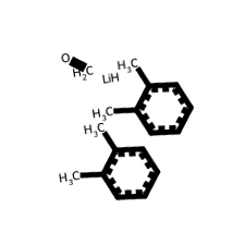 C=O.Cc1ccccc1C.Cc1ccccc1C.[LiH]